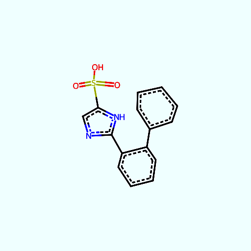 O=S(=O)(O)c1cnc(-c2ccccc2-c2ccccc2)[nH]1